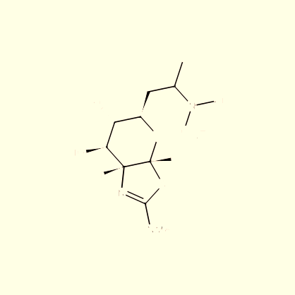 CCN(C(=O)O)C(C)C[C@H]1O[C@@H]2SC(NC)=N[C@@H]2[C@@H](O)[C@@H]1O